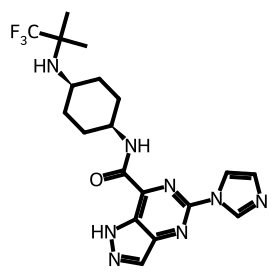 CC(C)(N[C@H]1CC[C@@H](NC(=O)c2nc(-n3ccnc3)nc3cn[nH]c23)CC1)C(F)(F)F